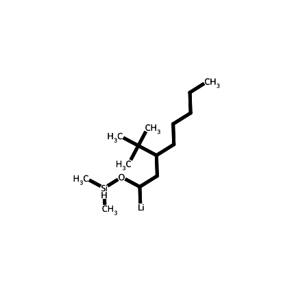 [Li][CH](CC(CCCCC)C(C)(C)C)O[SiH](C)C